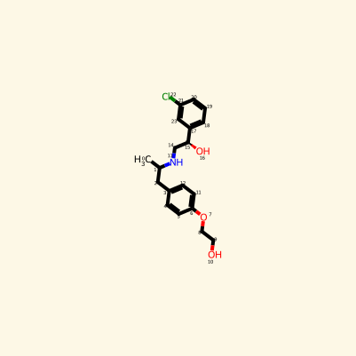 CC(Cc1ccc(OCCO)cc1)NC[C@H](O)c1cccc(Cl)c1